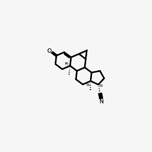 C[C@]12CCC(=O)C=C1C1CC1C1C2CC[C@@]2(C)C1CC[C@@H]2C#N